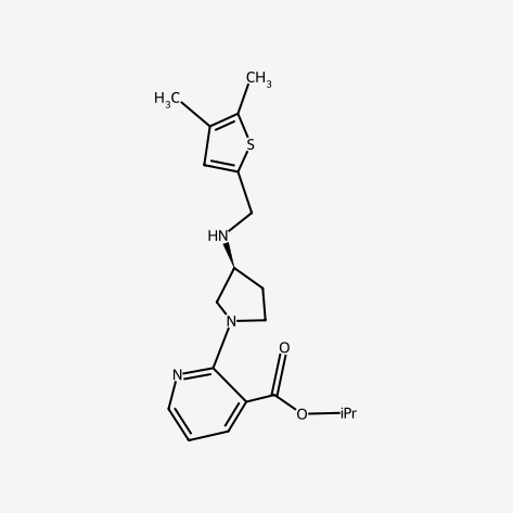 Cc1cc(CN[C@H]2CCN(c3ncccc3C(=O)OC(C)C)C2)sc1C